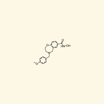 COc1ccc(CN2CCOc3ccc(C(=O)NO)cc3C2)cc1